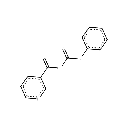 O=C(NC(=O)c1cccnc1)Nc1ccccc1